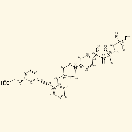 CCOc1cccc(C#Cc2ccccc2CN2CCN(c3ccc(C(=O)NS(=O)(=O)CCC(F)(F)F)cc3)CC2)c1